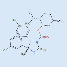 CC(C)[C@@H]1CC[C@@H](C)CC1OC(=O)N1C(=S)N[C@](C)(c2cccc(Cl)c2)[C@@H]1c1ccc(Cl)cc1